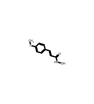 COc1ccc(C=CC(=O)NO)cc1